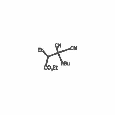 CCCCC(C#N)(C#N)C(CC)C(=O)OCC